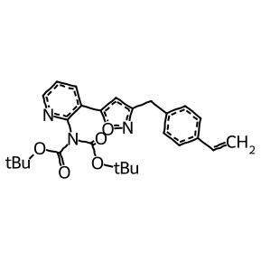 C=Cc1ccc(Cc2cc(-c3cccnc3N(C(=O)OC(C)(C)C)C(=O)OC(C)(C)C)on2)cc1